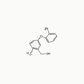 Cc1ccc(Oc2ccccc2C(C)C)cc1CO